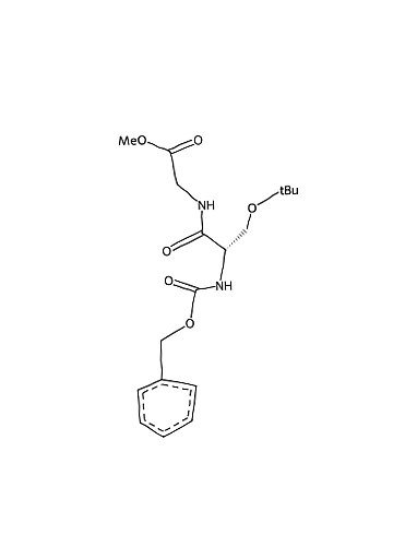 COC(=O)CNC(=O)[C@H](COC(C)(C)C)NC(=O)OCc1ccccc1